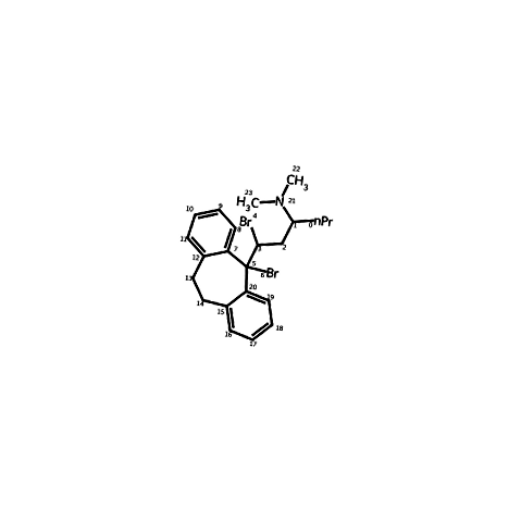 CCCC(CC(Br)C1(Br)c2ccccc2CCc2ccccc21)N(C)C